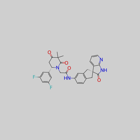 CC1(C)C(=O)C[C@@H](c2cc(F)cc(F)c2)N(CC(=O)Nc2ccc3c(c2)C[C@@]2(C3)C(=O)Nc3ncccc32)C1=O